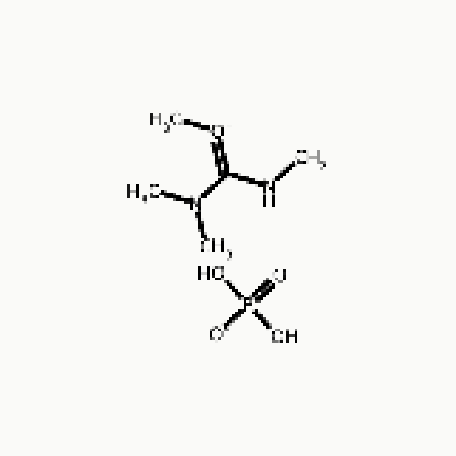 CNC(=[O+]C)N(C)C.O=P([O-])(O)O